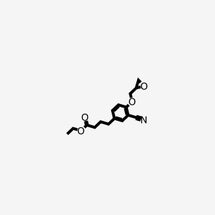 CCOC(=O)CCCc1ccc(OCC2CO2)c(C#N)c1